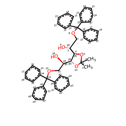 CC1(C)O[C@H]([C@H](O)COC(c2ccccc2)(c2ccccc2)c2ccccc2)[C@@H]([C@H](O)COC(c2ccccc2)(c2ccccc2)c2ccccc2)O1